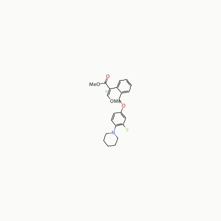 CO/C=C(/C(=O)OC)c1ccccc1COc1ccc(N2CCCCC2)c(F)c1